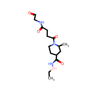 CCBNC(=O)C1CCN(C(=O)CCC(=O)NCC=O)C(C)C1